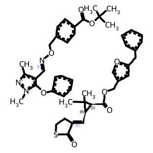 CC1(C)[C@H](/C=C2\CCSC2=O)[C@@H]1C(=O)OCc1coc(Cc2ccccc2)c1.Cc1nn(C)c(Oc2ccccc2)c1/C=N/OCc1ccc(C(=O)OC(C)(C)C)cc1